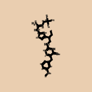 CCC(CNc1nnc(Cc2cccc(OC)c2)c(=O)[nH]1)c1csc(NC(N)=NCC(F)(F)F)n1